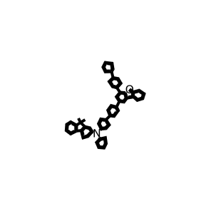 CC1(C)c2ccccc2-c2ccc(N(c3ccccc3)c3ccc(-c4ccc(-c5cc(-c6ccc(-c7ccccc7)cc6)c6oc7ccccc7c6c5)cc4)cc3)cc21